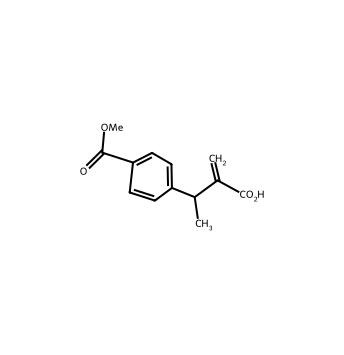 C=C(C(=O)O)C(C)c1ccc(C(=O)OC)cc1